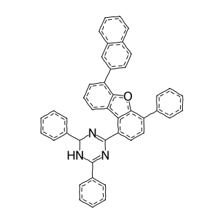 c1ccc(C2=NC(c3ccc(-c4ccccc4)c4oc5c(-c6ccc7ccccc7c6)cccc5c34)=NC(c3ccccc3)N2)cc1